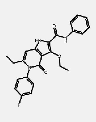 CCOc1c(C(=O)Nc2ccccc2)[nH]c2cc(CC)n(-c3ccc(F)cc3)c(=O)c12